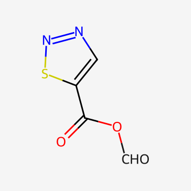 O=COC(=O)c1cnns1